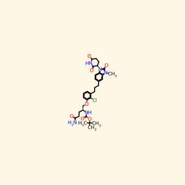 Cn1c(=O)n(C2CCC(=O)NC2=O)c2ccc(CCCc3cccc(OC[C@H](CCC(N)=O)NC(=O)OC(C)(C)C)c3Cl)cc21